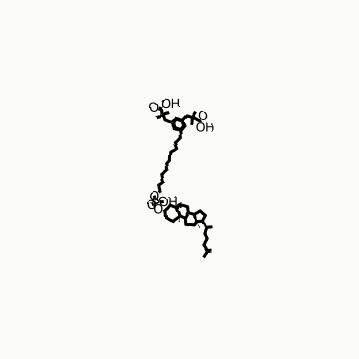 CC(C)CCCC(C)C1CCC2C3CC=C4C[C@@H](OP(=O)(O)OCCCCCCCCCCCc5cc(CC(C)(C)C(=O)O)cc(CC(C)(C)C(=O)O)c5)CC[C@]4(C)C3CC[C@]12C